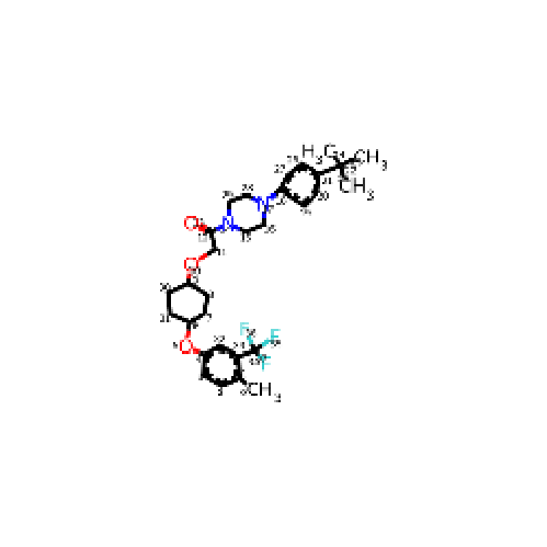 Cc1ccc(OC2CCC(OCC(=O)N3CCN(c4ccc(C(C)(C)C)cc4)CC3)CC2)cc1C(F)(F)F